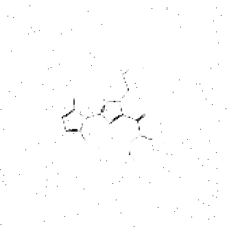 CCCn1nc(-n2c(C)ccc2C)cc1C(=O)N(C)OC